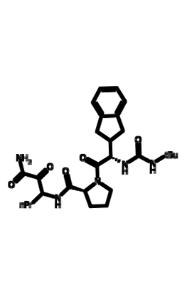 CCCC(NC(=O)[C@@H]1CCCN1C(=O)[C@@H](NC(=O)NC(C)(C)C)C1Cc2ccccc2C1)C(=O)C(N)=O